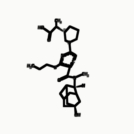 CCCSc1nc(N2CCC[C@@H](C(C)C(=O)O)C2)ccc1C(=O)N(C)[C@H]1C2CC3CC1C[C@@](O)(C3)C2